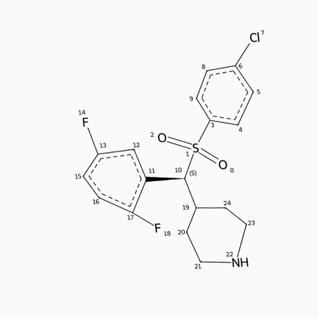 O=S(=O)(c1ccc(Cl)cc1)[C@H](c1cc(F)ccc1F)C1CCNCC1